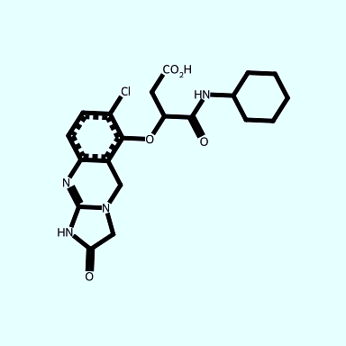 O=C(O)CC(Oc1c(Cl)ccc2c1CN1CC(=O)NC1=N2)C(=O)NC1CCCCC1